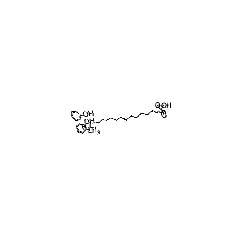 CCCCCCCCCCCCCCCS(=O)(=O)O.Cc1ccccc1O.Oc1ccccc1